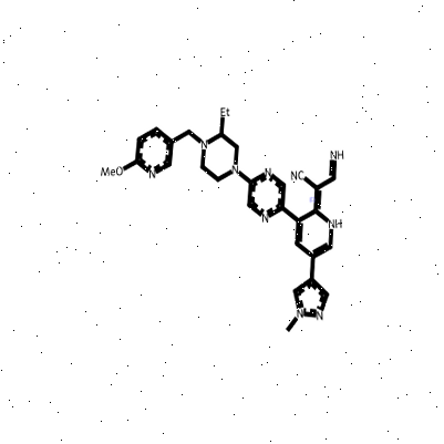 CCC1CN(c2cnc(C3=CC(c4cnn(C)c4)=CN/C3=C(/C#N)C=N)cn2)CCN1Cc1ccc(OC)nc1